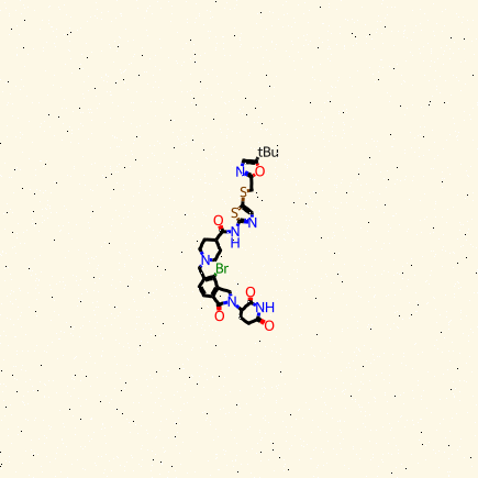 CC(C)(C)c1cnc(CSc2cnc(NC(=O)C3CCN(Cc4ccc5c(c4Br)CN(C4CCC(=O)NC4=O)C5=O)CC3)s2)o1